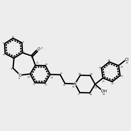 O=C1c2ccccc2COc2ccc(CCN3CCC(O)(c4ccc(Cl)cc4)CC3)cc21